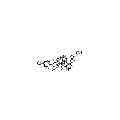 COc1ncnc(OC)c1-n1c(NS(=O)(=O)[C@@H](C)[C@H](OC)c2ncc(Cl)cn2)nnc1[C@H]1C[C@@H](CO)C1